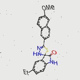 CCc1ccc2c(c1)C1(NN=C(c3ccc4cc(OC)ccc4c3)S1)C(=O)N2